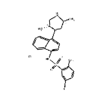 Cc1ccc(F)cc1S(=O)(=O)Nc1ccc(N2C[C@H](C)NC[C@H]2C)c2ccccc12.Cl